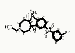 CCN1CC[C@@H]2c3cc(S(=O)(=O)c4cccc(F)c4)ccc3N(C)[C@@H]2CC1